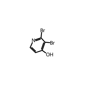 Oc1ccnc(Br)c1Br